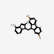 CC1=Cc2c(cccc2C(F)(F)F)C1CC1c2cc(Br)ccc2-c2ccc(Br)cc21